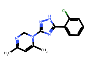 CC1=CC(C)=NCN1c1n[nH]c(-c2ccccc2Cl)n1